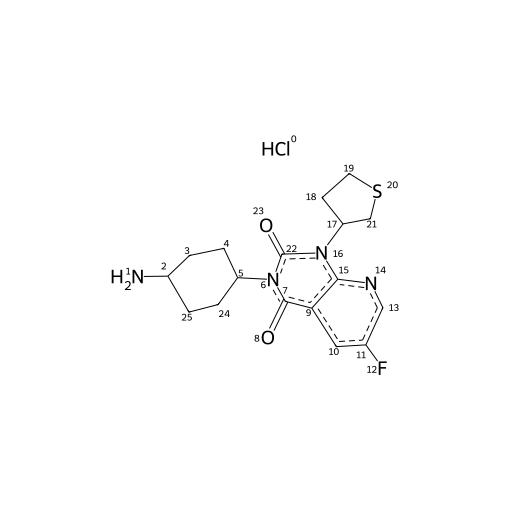 Cl.NC1CCC(n2c(=O)c3cc(F)cnc3n(C3CCSC3)c2=O)CC1